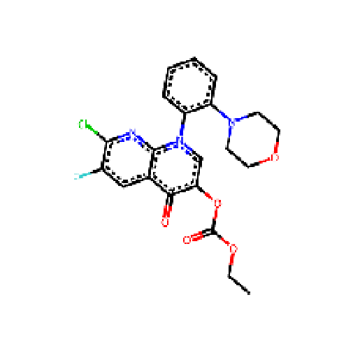 CCOC(=O)Oc1cn(-c2ccccc2N2CCOCC2)c2nc(Cl)c(F)cc2c1=O